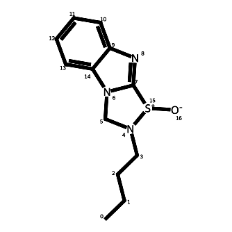 CCCCN1Cn2c(nc3ccccc32)[S+]1[O-]